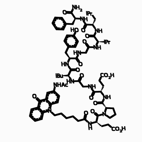 CC[C@H](C)[C@H](NC(=O)CNC(=O)[C@H](CCC(=O)O)NC(=O)[C@@H]1CCCN1C(=O)[C@H](CCC(=O)O)NC(=O)CCCCCn1c2ccccc2c(=O)c2cc(NC(C)=O)ccc21)C(=O)N[C@@H](Cc1ccc(O)cc1)C(=O)NCC(=O)N[C@H](C(=O)N[C@@H](CC(C)C)C(=O)N[C@@H](Cc1ccccc1)C(N)=O)C(C)C